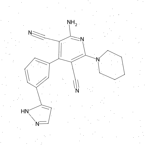 N#Cc1c(N)nc(N2CCCCC2)c(C#N)c1-c1cccc(-c2ccn[nH]2)c1